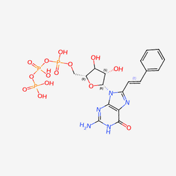 Nc1nc2c(nc(/C=C/c3ccccc3)n2[C@@H]2O[C@H](COP(=O)(O)OP(=O)(O)OP(=O)(O)O)C(O)[C@@H]2O)c(=O)[nH]1